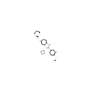 CC(C)OC(=O)Nc1ccc(C2C(C#N)c3ccc(Oc4ncccn4)cc3N2C2CCC2)cc1C#N